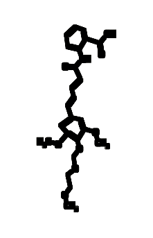 COCCOCOc1c(OC)cc(/C=C/C=C/C(=O)Nc2ccccc2C(=O)O)cc1OC